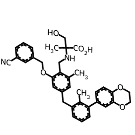 Cc1cc(Cc2cccc(-c3ccc4c(c3)OCCO4)c2C)cc(OCc2cccc(C#N)c2)c1CNC(C)(CO)C(=O)O